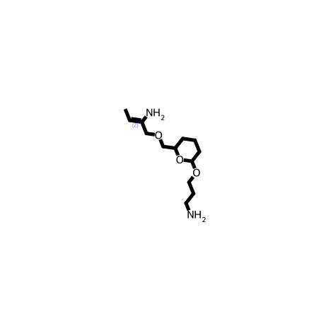 C/C=C(\N)COCC1CCCC(OCCCN)O1